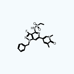 CCS(=O)(=O)Nc1nc(-c2cc(C)c(=O)n(C)c2)cc2c1c(F)nn2Cc1ccccc1